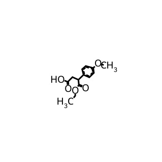 CCOC(=O)C(CC(=O)O)c1ccc(OC)cc1